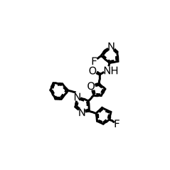 O=C(Nc1ccncc1F)c1ccc(-c2c(-c3ccc(F)cc3)ncn2Cc2ccccc2)o1